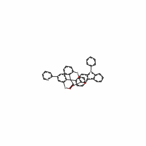 c1ccc(-n2c3ccccc3c3cc(-c4cccc5c4C4(c6ccccc6Sc6ccccc64)c4ccc(-c6ccccn6)cc4S5)ccc32)cc1